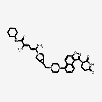 N/C(=C\C=C(/N)N1CC2C(CN3CCN(c4cccc5c4ccc4onc(C6CCC(=O)NC6=O)c45)CC3)C2C1)C(=O)NC1CCCCC1